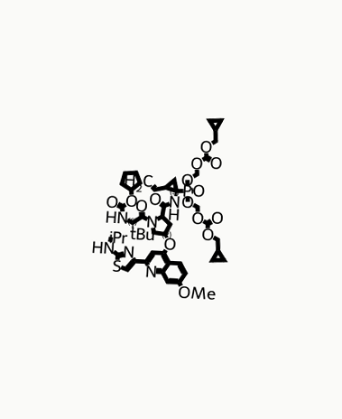 C=CC1C[C@]1(NC(=O)C1C[C@@H](Oc2cc(-c3csc(NC(C)C)n3)nc3cc(OC)ccc23)CN1C(=O)[C@@H](NC(=O)OC1CCCC1)C(C)(C)C)P(=O)(OCOC(=O)OCC1CC1)OCOC(=O)OCC1CC1